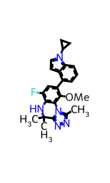 COc1c(-c2cccc3c2ccn3C2CC2)cc(F)c2c1-n1c(C)nnc1C(C)(C)N2